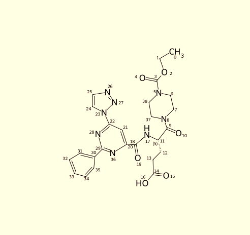 CCOC(=O)N1CCN(C(=O)[C@H](CCC(=O)O)NC(=O)c2cc(-n3ccnn3)nc(-c3ccccc3)n2)CC1